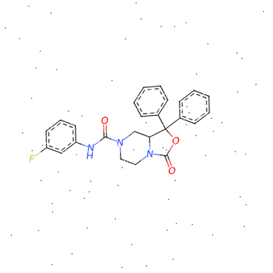 O=C(Nc1cccc(F)c1)N1CCN2C(=O)OC(c3ccccc3)(c3ccccc3)C2C1